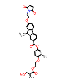 C=C(CO)C(=O)OCCOc1ccc(OC(=O)c2ccc3c(c2)C(C)c2cc(OCCN4C(=O)C=CC4=O)ccc2-3)cc1CC